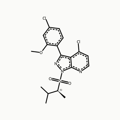 COc1cc(Cl)ccc1-c1nn(S(=O)(=O)[C@@H](C)C(C)C)c2nccc(Cl)c12